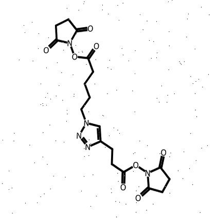 O=C(CCCCn1cc(CCC(=O)ON2C(=O)CCC2=O)nn1)ON1C(=O)CCC1=O